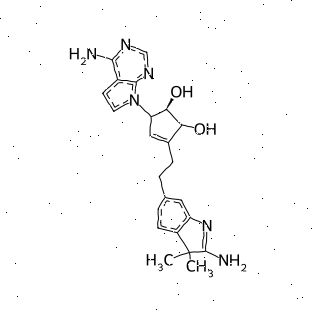 CC1(C)C(N)=Nc2cc(CCC3=CC(n4ccc5c(N)ncnc54)[C@@H](O)C3O)ccc21